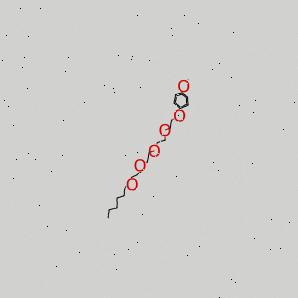 CCCCCCOCCOCCOCCOCCOc1ccc(OC)cc1